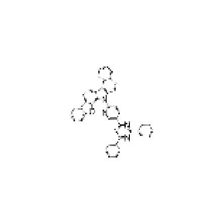 c1ccc(-c2nc(-c3ccccc3)nc(-c3ccc(-n4c5ccc6ccccc6c5c5ccc6c7ccccc7oc6c54)nc3)n2)cc1